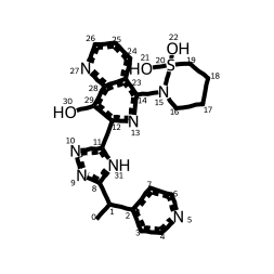 CC(c1ccncc1)c1nnc(-c2nc(N3CCCCS3(O)O)c3cccnc3c2O)[nH]1